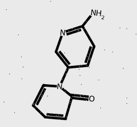 Nc1ccc(-n2ccccc2=O)cn1